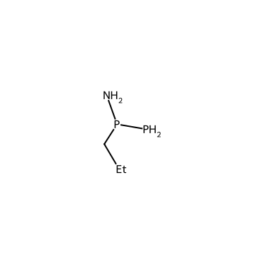 CCCP(N)P